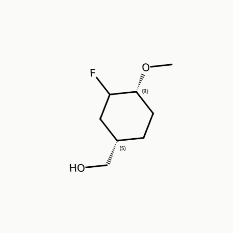 CO[C@@H]1CC[C@H](CO)CC1F